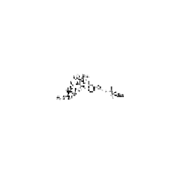 CCOC(=O)[C@H]1O[C@@H](n2cnc3c(N)ncnc32)[C@H](O)[C@@H]1N(C(=O)OC(C)(C)C)C(=O)[C@@H](N)Cc1ccc(OCCCNC(=O)OC(C)(C)C)cc1